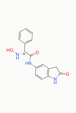 O=C1Cc2cc(NC(=O)[C@H](NO)c3ccccc3)ccc2N1